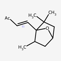 CC(=O)/C=C/C12OC(CC1C)CC2(C)C